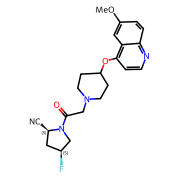 COc1ccc2nccc(OC3CCN(CC(=O)N4C[C@@H](F)C[C@H]4C#N)CC3)c2c1